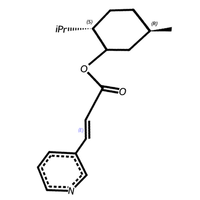 CC(C)[C@@H]1CC[C@@H](C)CC1OC(=O)/C=C/c1cccnc1